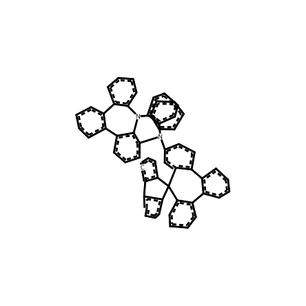 c1ccc(N(c2ccc3c(c2)C2(c4ccccc4-c4ccccc4-3)c3ccccc3-c3ccccc32)c2cccc3c2N(c2ccccc2)c2ccccc2-c2ccccc2-3)cc1